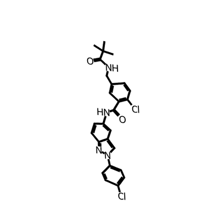 CC(C)(C)C(=O)NCc1ccc(Cl)c(C(=O)Nc2ccc3nn(-c4ccc(Cl)cc4)cc3c2)c1